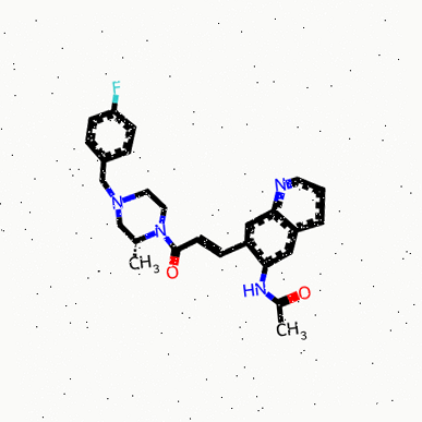 CC(=O)Nc1cc2cccnc2cc1C=CC(=O)N1CCN(Cc2ccc(F)cc2)C[C@H]1C